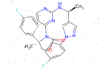 C[C@H](Nc1nccc(N2C(=O)OC[C@@]2(C)c2ccc(F)cc2)n1)c1cnn(-c2ccc(F)cc2)c1